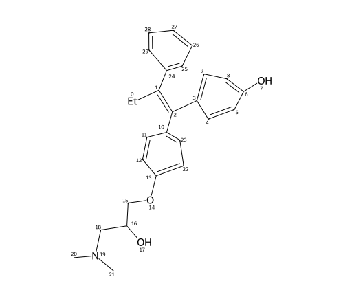 CCC(=C(c1ccc(O)cc1)c1ccc(OCC(O)CN(C)C)cc1)c1ccccc1